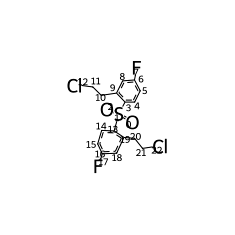 O=S(=O)(c1ccc(F)cc1CCCl)c1ccc(F)cc1CCCl